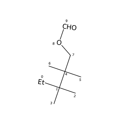 CCC(C)(C)C(C)(C)COC=O